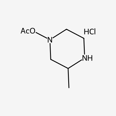 CC(=O)ON1CCNC(C)C1.Cl